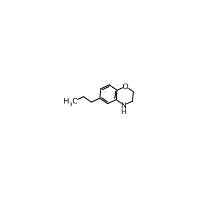 CCCc1ccc2c(c1)NCCO2